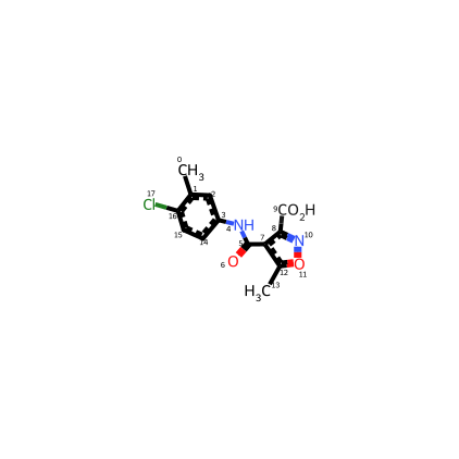 Cc1cc(NC(=O)c2c(C(=O)O)noc2C)ccc1Cl